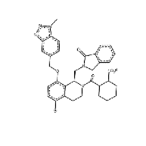 Cn1nnc2cc(COc3ccc(Br)c4c3[C@@H](CN3Cc5ccccc5C3=O)N(C(=O)C3CCCCC3C(=O)O)CC4)ccc21